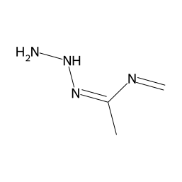 C=N/C(C)=N\NN